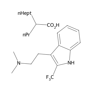 CCCCCCCC(CCC)C(=O)O.CN(C)CCc1c(C(F)(F)F)[nH]c2ccccc12